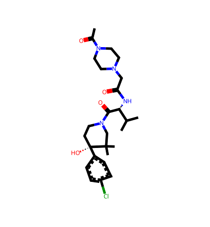 CC(=O)N1CCN(CC(=O)N[C@@H](C(=O)N2CC[C@](O)(c3ccc(Cl)cc3)C(C)(C)C2)C(C)C)CC1